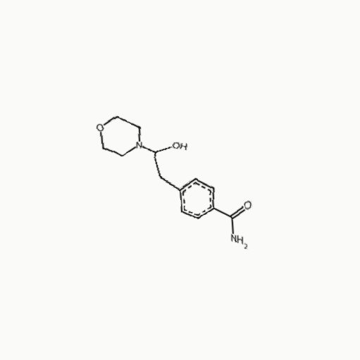 NC(=O)c1ccc(CC(O)N2CCOCC2)cc1